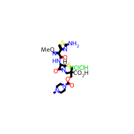 CON=C(C(=O)NC1C(=O)N2CC(COC(=O)N3CCN(C)CC3)(C(=O)O)CS[C@H]12)c1csc(N)n1.Cl.Cl